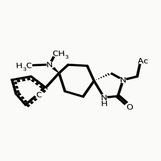 CC(=O)CN1C[C@]2(CC[C@](c3ccccc3)(N(C)C)CC2)NC1=O